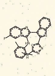 CNc1nnc(-c2sc3ccccc3c2-c2nc3ccc(F)cn3c2Nc2c(C)cccc2C)o1